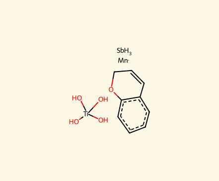 C1=Cc2ccccc2OC1.[Mn].[OH][Ti]([OH])([OH])[OH].[SbH3]